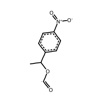 CC(O[C]=O)c1ccc([N+](=O)[O-])cc1